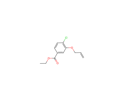 C=CCOc1cc(C(=O)OCC)ccc1Cl